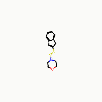 C1=C(SSN2CCOCC2)Cc2ccccc21